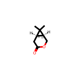 CC1(C)[C@@H]2CC(=O)OC[C@@H]21